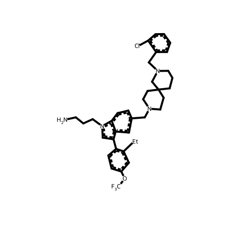 CCc1cc(OC(F)(F)F)ccc1-c1cn(CCCN)c2ccc(CN3CCC4(CCCN(Cc5ccccc5Cl)C4)CC3)cc12